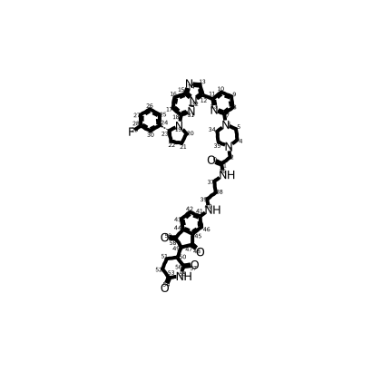 O=C(CN1CCN(c2cccc(-c3cnc4ccc(N5CCC[C@@H]5c5cccc(F)c5)nn34)n2)CC1)NCCCNc1ccc2c(c1)C(=O)C(C1CCC(=O)NC1=O)C2=O